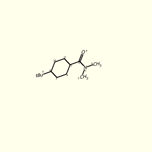 CN(C)C(=O)C1CCC(C(C)(C)C)CC1